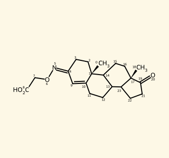 C[C@]12CC/C(=N/OCC(=O)O)C=C1CCC1C2CC[C@]2(C)C(=O)CCC12